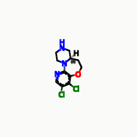 Clc1cnc2c(c1Cl)OCC[C@@H]1CNCCN21